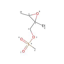 CCC1(COS(C)(=O)=O)OC1C